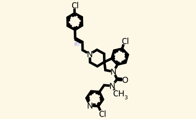 CN(Cc1ccnc(Cl)c1)C(=O)N1CC2(CCN(C/C=C/c3ccc(Cl)cc3)CC2)c2cc(Cl)ccc21